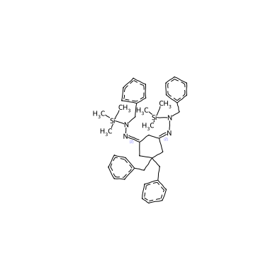 C[Si](C)(C)N(Cc1ccccc1)/N=C1\C/C(=N\N(Cc2ccccc2)[Si](C)(C)C)CC(Cc2ccccc2)(Cc2ccccc2)C1